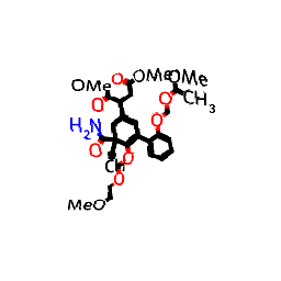 C#CC1(C(N)=O)CC(C(CC(=O)OC)C(=O)OC)=CC(c2ccccc2OCOC(C)OC)=C1OCOCCOC